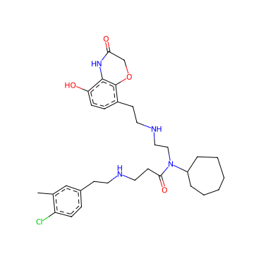 Cc1cc(CCNCCC(=O)N(CCNCCc2ccc(O)c3c2OCC(=O)N3)C2CCCCCC2)ccc1Cl